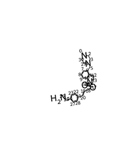 CN1CCN(Cc2cccc3c2ccn3S(=O)(=O)CC=Cc2ccc(CN)cc2)CC1